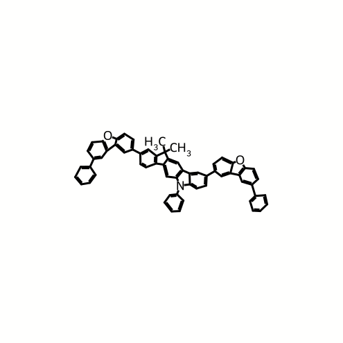 CC1(C)c2cc(-c3ccc4oc5ccc(-c6ccccc6)cc5c4c3)ccc2-c2cc3c(cc21)c1cc(-c2ccc4oc5ccc(-c6ccccc6)cc5c4c2)ccc1n3-c1ccccc1